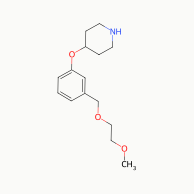 COCCOCc1cccc(OC2CCNCC2)c1